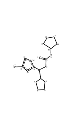 O=C(CC(C1CCCC1)n1cc(Br)cn1)OC1CCCC1